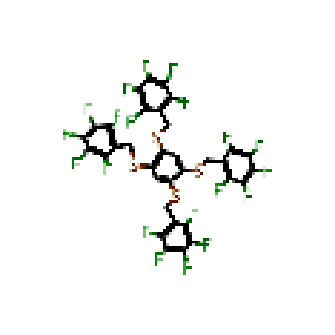 Fc1c(F)c(F)c(CSc2cc(SCc3c(F)c(F)c(F)c(F)c3F)c(SCc3c(F)c(F)c(F)c(F)c3F)cc2SCc2c(F)c(F)c(F)c(F)c2F)c(F)c1F